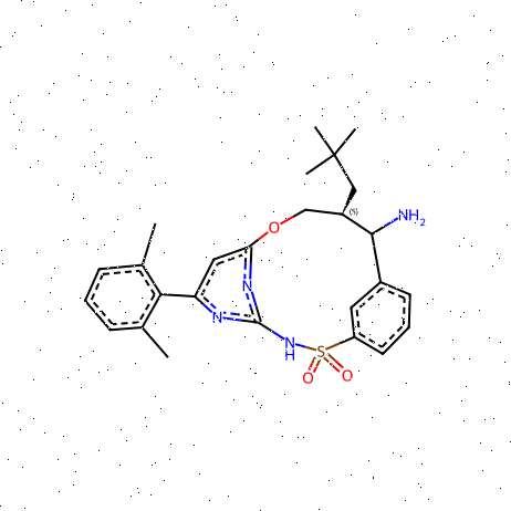 Cc1cccc(C)c1-c1cc2nc(n1)NS(=O)(=O)c1cccc(c1)C(N)[C@H](CC(C)(C)C)CO2